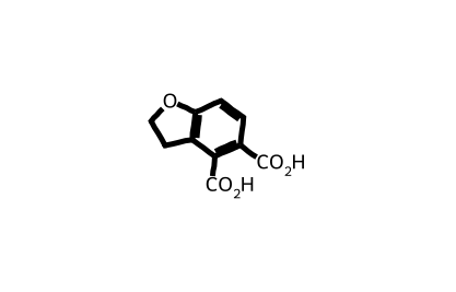 O=C(O)c1ccc2c(c1C(=O)O)CCO2